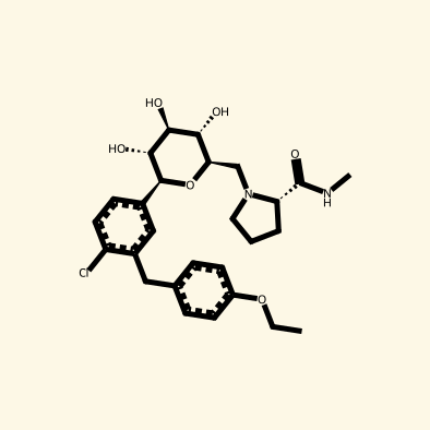 CCOc1ccc(Cc2cc([C@@H]3O[C@H](CN4CCC[C@H]4C(=O)NC)[C@@H](O)[C@H](O)[C@H]3O)ccc2Cl)cc1